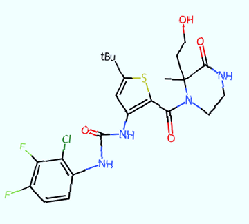 CC(C)(C)c1cc(NC(=O)Nc2ccc(F)c(F)c2Cl)c(C(=O)N2CCNC(=O)C2(C)CCO)s1